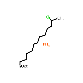 CCCCCCCCCCCCCCCCCCC(C)Cl.P